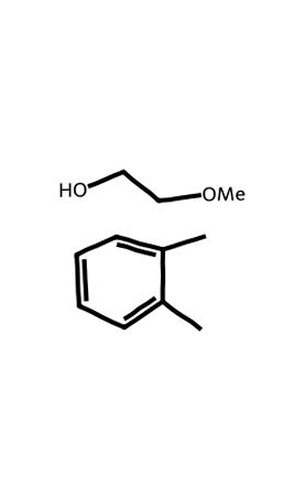 COCCO.Cc1ccccc1C